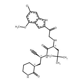 COc1cc(Cl)cc2[nH]c(C(=O)CN[C@@H](CC(C)(C)C)C(=O)N[C@H](C#N)C[C@@H]3CCCNC3=O)cc12